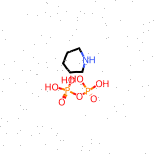 C1CCNCC1.O=P(O)(O)OP(=O)(O)O